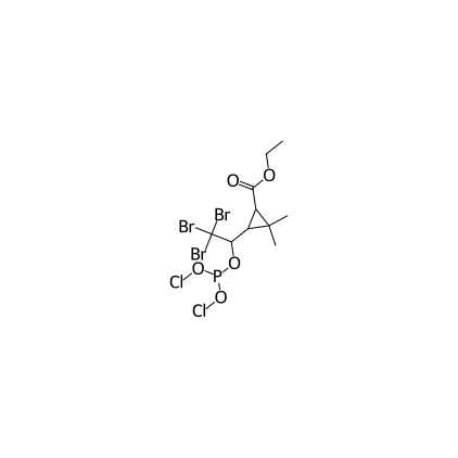 CCOC(=O)C1C(C(OP(OCl)OCl)C(Br)(Br)Br)C1(C)C